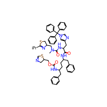 CC(C)C1=NC(CN(C)C(=O)NC(Cc2cn(C(c3ccccc3)(c3ccccc3)c3ccccc3)cn2)C(=O)NC(CCC(Cc2ccccc2)NC(=O)OCC2CN=CS2)Cc2ccccc2)CS1